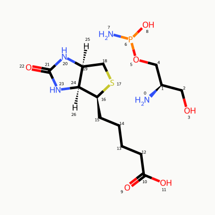 N[C@H](CO)COP(N)O.O=C(O)CCCC[C@@H]1SC[C@@H]2NC(=O)N[C@@H]21